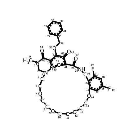 CN1CN2CCOCCOCCOCCOc3cc(F)cc(F)c3CNC(=O)c3cn2c(c(OCc2ccccc2)c3=O)C1=O